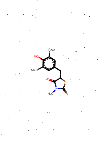 COc1cc(CC2SC(=S)N(C)C2=O)cc(OC)c1O